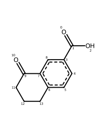 O=C(O)c1ccc2c(c1)C(=O)CCC2